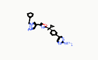 CC(c1ccc(-c2cnc(N)nc2)cc1)(c1nc(-c2cnn(Cc3ccccc3)c2)co1)C1CC1